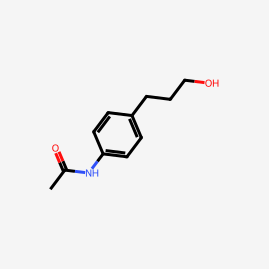 CC(=O)Nc1ccc(CCCO)cc1